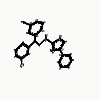 CCc1cccc(C(CBc2ncc(-c3ccccc3)[nH]2)c2cccc(F)c2)c1